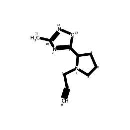 C#CCN1CCCC1c1nc(C)no1